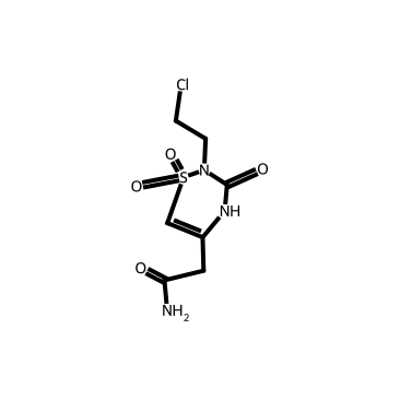 NC(=O)CC1=CS(=O)(=O)N(CCCl)C(=O)N1